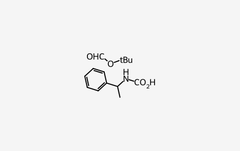 CC(C)(C)OC=O.CC(NC(=O)O)c1ccccc1